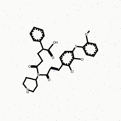 COc1ccccc1Sc1ccc(/C=C/C(=O)N(C(=O)CCC(C(=O)O)c2ccccc2)C2CCNCC2)c(Cl)c1Cl